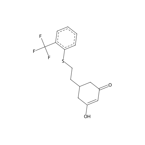 O=C1C=C(O)CC(CCSc2ccccc2C(F)(F)F)C1